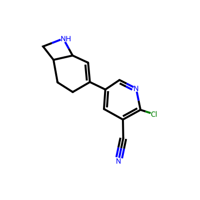 N#Cc1cc(C2=CC3NCC3CC2)cnc1Cl